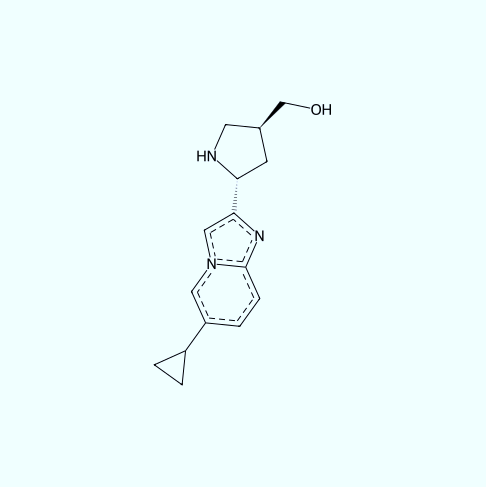 OC[C@@H]1CN[C@@H](c2cn3cc(C4CC4)ccc3n2)C1